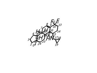 C[C@@]12CCC[C@H]1[C@@H]1CC=C3C(F)(F)CCC(NC4CC4)[C@]3(C)[C@H]1CC2